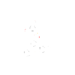 COC(=O)c1cc(C(=O)OC)cc(S(=O)(=O)O)c1.COC(=O)c1ccc(PC(c2ccccc2)c2ccccc2)cc1